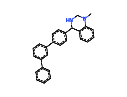 CN1CNC(c2ccc(-c3cccc(-c4ccccc4)c3)cc2)c2ccccc21